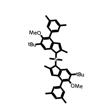 COc1c(C(C)(C)C)cc2c(c1-c1cc(C)cc(C)c1)C=C(C)C2S(C)(C)C1C(C)=Cc2c1cc(C(C)(C)C)c(OC)c2-c1cc(C)cc(C)c1